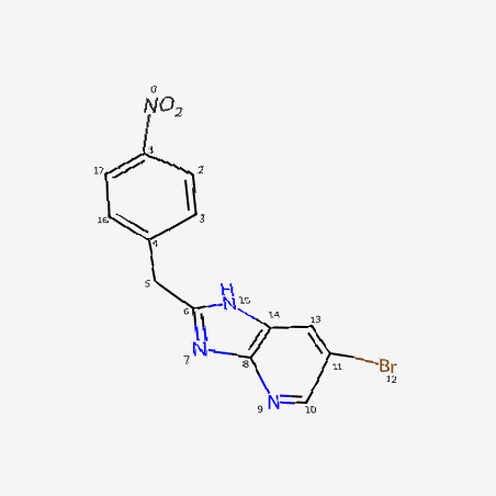 O=[N+]([O-])c1ccc(Cc2nc3ncc(Br)cc3[nH]2)cc1